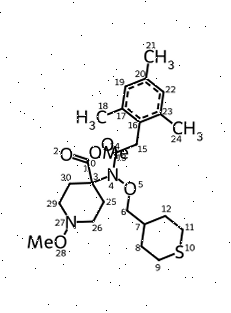 COC(=O)C1(N(OCC2CCSCC2)C(=O)Cc2c(C)cc(C)cc2C)CCN(OC)CC1